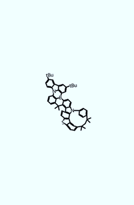 CC(C)(C)c1ccc2c(c1)c1cc(C(C)(C)C)cc3c1n2-c1cccc2c1B3c1ccc3c(c1C2(C)C)c1ccc2sc4ccc5cc4c2c1n3-c1ccc(cc1)C(C)(C)CC5(C)C